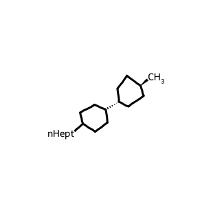 CCCCCCCC1CCC([C@H]2CC[C@H](C)CC2)CC1